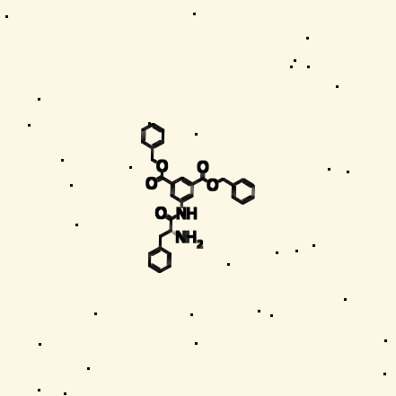 N[C@H](Cc1ccccc1)C(=O)Nc1cc(C(=O)OCc2ccccc2)cc(C(=O)OCc2ccccc2)c1